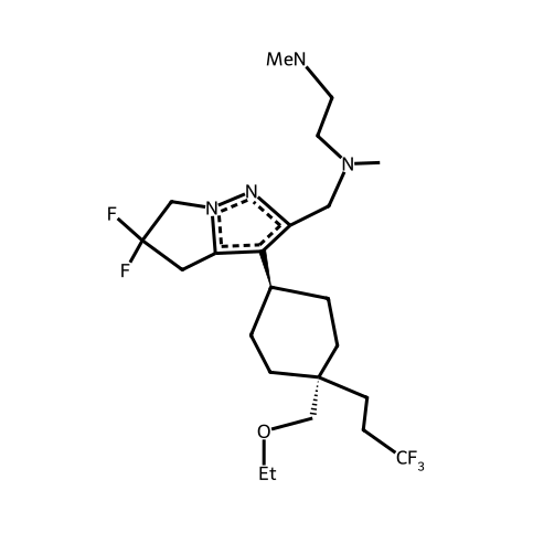 CCOC[C@]1(CCC(F)(F)F)CC[C@@H](c2c(CN(C)CCNC)nn3c2CC(F)(F)C3)CC1